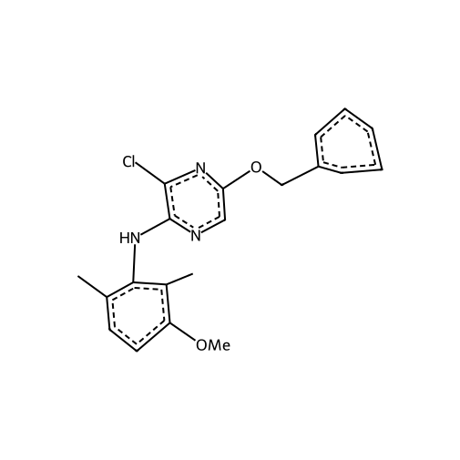 COc1ccc(C)c(Nc2ncc(OCc3ccccc3)nc2Cl)c1C